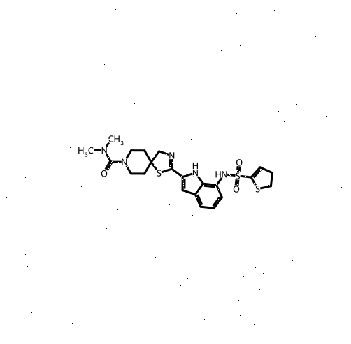 CN(C)C(=O)N1CCC2(CC1)CN=C(c1cc3cccc(NS(=O)(=O)C4=CCCS4)c3[nH]1)S2